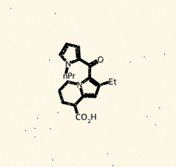 CCCn1cccc1C(=O)c1c(CC)cc2n1CCCC2C(=O)O